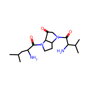 CC(C)CC(N)C(=O)N1CCC2C1C(=O)CN2C(=O)C(N)C(C)C